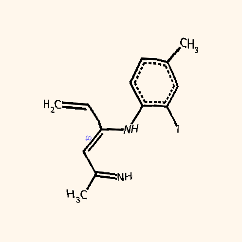 C=C/C(=C/C(C)=N)Nc1ccc(C)cc1I